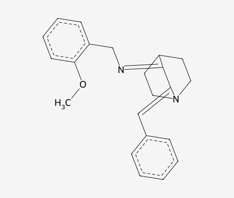 COc1ccccc1C/N=C1/C(=C/c2ccccc2)N2CCC1CC2